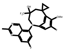 COc1c(F)cc2cc1C1(CC1)CC(O)(C(F)(F)F)CN2c1cc(F)cc2nc(C)ncc12